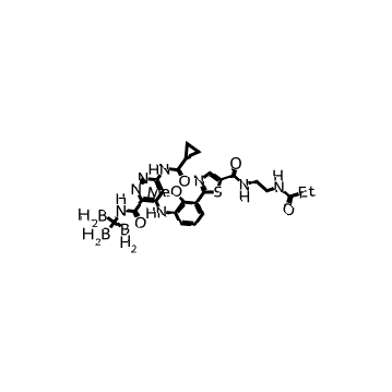 BC(B)(B)NC(=O)c1nnc(NC(=O)C2CC2)cc1Nc1cccc(-c2ncc(C(=O)NCCNC(=O)CC)s2)c1OC